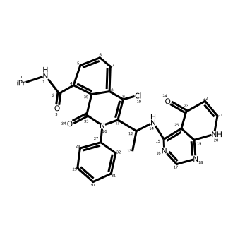 CC(C)NC(=O)c1cccc2c(Cl)c(C(C)Nc3ncnc4[nH]ccc(=O)c34)n(-c3ccccc3)c(=O)c12